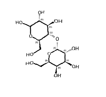 OC[C@H]1O[C@H](O[C@H]2[C@H](O)[C@@H](O)C(O)O[C@@H]2CO)[C@H](O)[C@@H](O)[C@H]1O